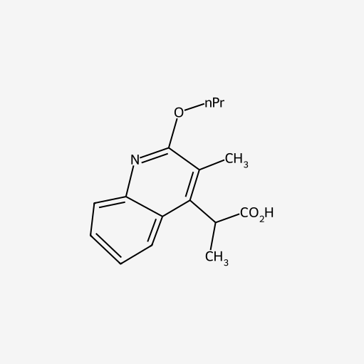 CCCOc1nc2ccccc2c(C(C)C(=O)O)c1C